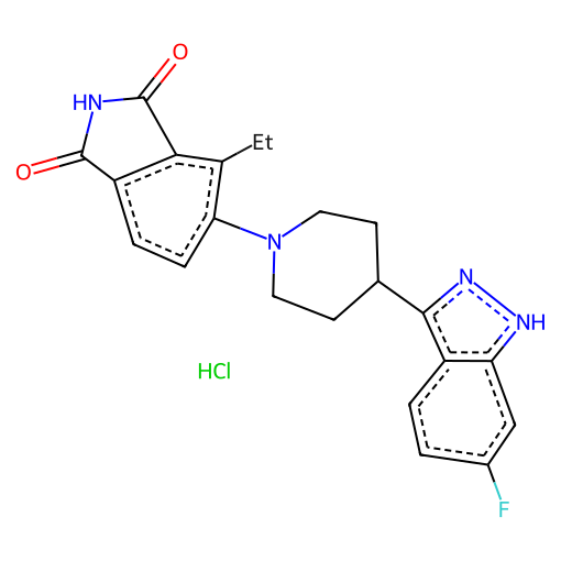 CCc1c(N2CCC(c3n[nH]c4cc(F)ccc34)CC2)ccc2c1C(=O)NC2=O.Cl